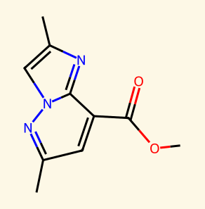 COC(=O)c1cc(C)nn2cc(C)nc12